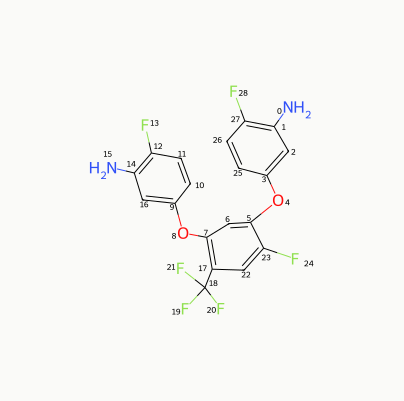 Nc1cc(Oc2cc(Oc3ccc(F)c(N)c3)c(C(F)(F)F)cc2F)ccc1F